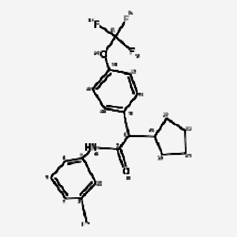 [CH2]c1cccc(NC(=O)C(c2ccc(OC(F)(F)F)cc2)C2CCCC2)c1